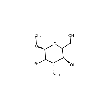 [2H]C1[C@@H](OC)OC(CO)[C@@H](O)[C@@H]1C